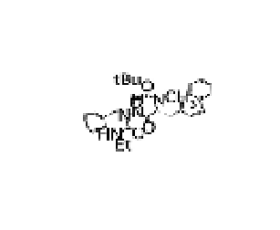 CCNC(=O)N(Cc1ccccc1)NC(=O)[C@@H](Cc1ccc2ccccc2c1)N(C)C(=O)OC(C)(C)C